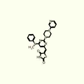 CN(c1ccccc1)c1cc(C=C2SC(=O)NC2=O)nc(N2CCN(c3cccnc3)CC2)n1